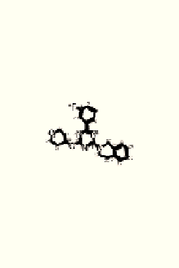 Fc1cccc(-c2nc(OC3CCOCC3)nc(N3CCc4ccccc4C3)n2)c1